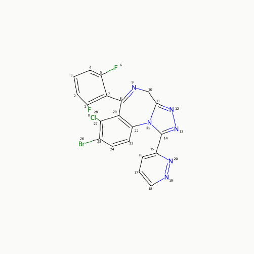 Fc1cccc(F)c1C1=NCc2nnc(-c3cccnn3)n2-c2ccc(Br)c(Cl)c21